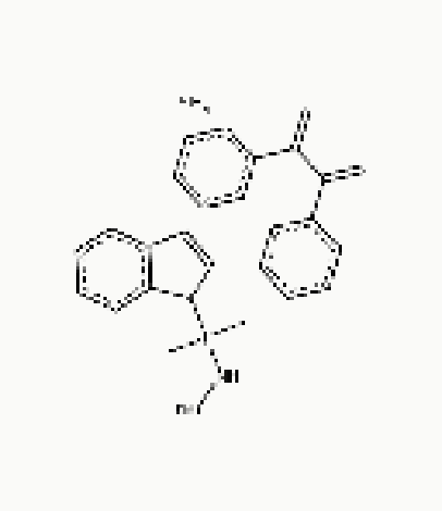 C=C(C(=C)c1ccccc1)c1ccccc1.CC(C)(C)[NH][Ti]([CH3])([CH3])[CH]1C=Cc2ccccc21.[SiH4]